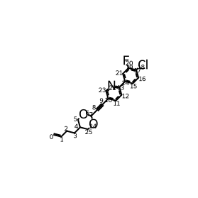 C=CCCC1COC(C#Cc2ccc(-c3ccc(Cl)c(F)c3)nc2)OC1